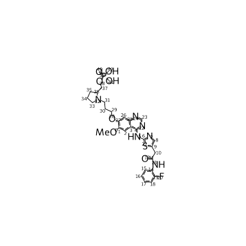 COc1cc2c(Nc3ncc(CC(=O)Nc4ccccc4F)s3)ncnc2cc1OCCCN1CCC[C@H]1COP(=O)(O)O